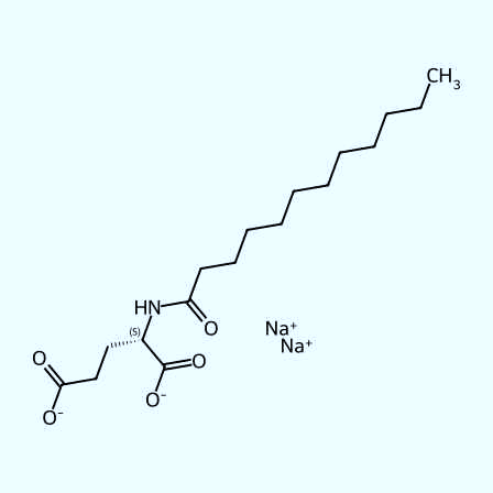 CCCCCCCCCCCC(=O)N[C@@H](CCC(=O)[O-])C(=O)[O-].[Na+].[Na+]